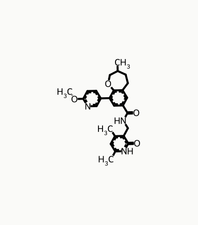 COc1ccc(-c2cc(C(=O)NCc3c(C)cc(C)[nH]c3=O)cc3c2OCC(C)CC3)cn1